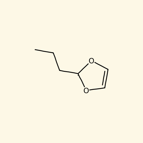 CCC[C]1OC=CO1